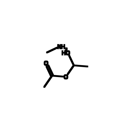 CC(=O)OC(C)O.CN